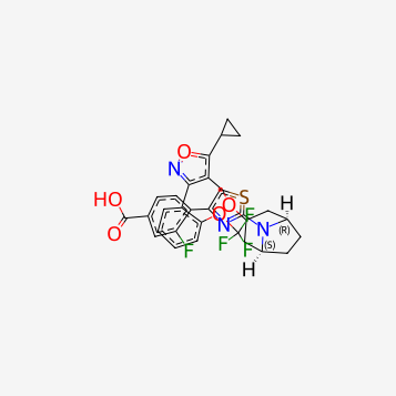 O=C(O)c1ccc(-c2csc(N3[C@@H]4CC[C@H]3CC(OCc3c(-c5ccccc5OC(F)(F)F)noc3C3CC3)C4)n2)c(F)c1